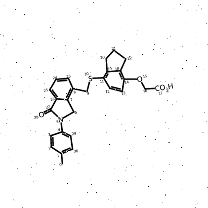 Cc1ccc(N2Cc3c(CSc4ccc(OCC(=O)O)c5c4CCC5)cccc3C2=O)cc1